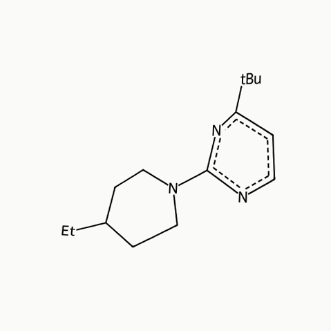 CCC1CCN(c2nccc(C(C)(C)C)n2)CC1